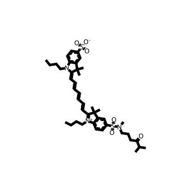 CCCCN1/C(=C/C=C/C=C/C=C/C2=[N+](CCCC)c3ccc(S(=O)(=O)N(C)CCCC(=O)C(C)C)cc3C2(C)C)C(C)(C)c2cc(S(=O)(=O)[O-])ccc21